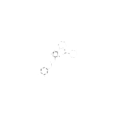 O=C(C1CCCCC1)N1CCCCC1c1nc(CCCc2ccccc2)no1